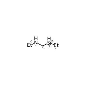 CCNC[SiH2]CC